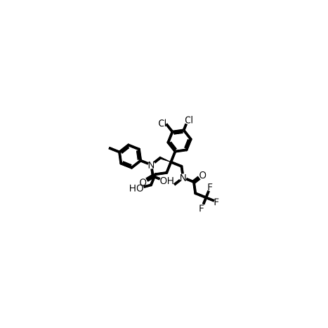 Cc1ccc(N(C[C@](CCCO)(CN(C)C(=O)CC(F)(F)F)c2ccc(Cl)c(Cl)c2)C(=O)O)cc1